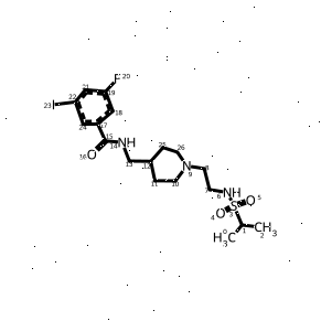 CC(C)S(=O)(=O)NCCN1CCC(CNC(=O)c2cc(F)cc(I)c2)CC1